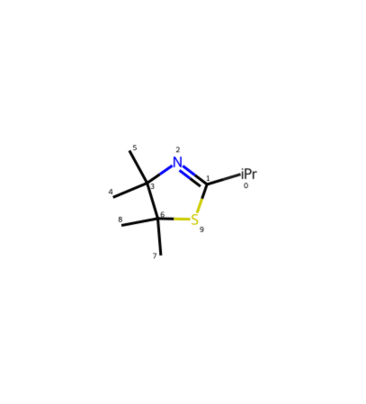 CC(C)C1=NC(C)(C)C(C)(C)S1